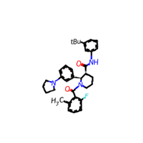 Cc1cccc(F)c1C(=O)N1CCC[C@H](C(=O)Nc2cccc(C(C)(C)C)c2)[C@@H]1c1cccc(N2CCCC2)c1